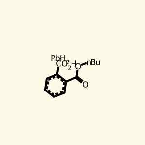 CCCCOC(=O)c1ccccc1C(=O)O.[PbH2]